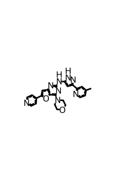 Cc1ccnc(-c2cc(Nc3nc(N4CCOCC4)c4oc(-c5ccncc5)cc4n3)[nH]n2)c1